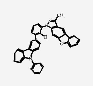 Cc1nn(-c2cccc(-c3ccc4c(c3)c3ccccc3n4-c3ccccc3)c2Cl)c2cc3oc4ccccc4c3cc12